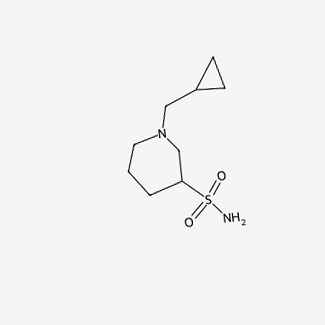 NS(=O)(=O)C1CCCN(CC2CC2)C1